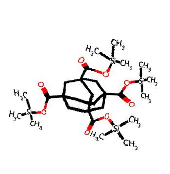 C[Si](C)(C)OC(=O)C12CC3(C(=O)O[Si](C)(C)C)CC(C(=O)O[Si](C)(C)C)(C1)CC(C(=O)O[Si](C)(C)C)(C2)C3